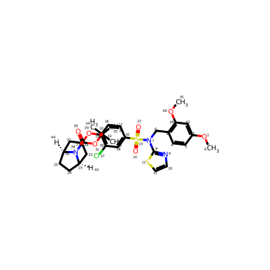 COc1ccc(CN(c2nccs2)S(=O)(=O)c2ccc(OC3C[C@H]4CC[C@@H](C3)N4C(=O)OC(C)(C)C)c(Cl)c2)c(OC)c1